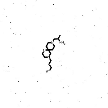 CC(C)CCCN1CCOC2(CCN(CC(C)N)CC2)C1